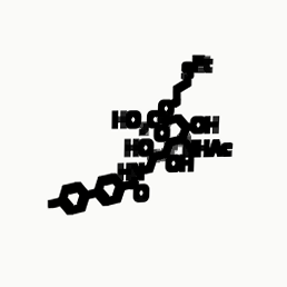 CCSCCCO[C@]1(C(=O)O)CC(O)[C@@H](NC(C)=O)[C@H]([C@H](O)[C@H](O)CNC(=O)c2ccc(-c3ccc(C)cc3)cc2)O1